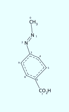 CN=Nc1ccc(C(=O)O)cc1